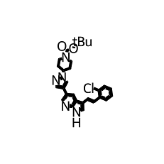 CC(C)(C)OC(=O)N1CCC(n2cc(-c3cnc4[nH]cc(/C=C/c5ccccc5Cl)c4c3)cn2)CC1